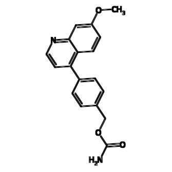 COc1ccc2c(-c3ccc(COC(N)=O)cc3)ccnc2c1